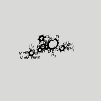 CC[C@H]1CCC[C@H](O[C@H]2CC[C@H](N(C)C)C(C)O2)[C@@H](C)C(=O)C2=C[C@H]3[C@@H]4C[C@H](O[C@@H]5OC(C)[C@H](OC)C(OC)C5OC)C[C@H]4C[C@H](Nc4c(C)cccc4F)[C@H]3[C@@H]2CC(=O)O1